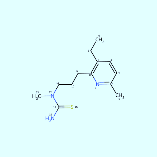 CCc1ccc(C)nc1CCCN(C)C(N)=S